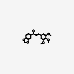 COc1cc(C=CC(=O)c2ccc3c(c2)OCO3)cc(OC)c1OC